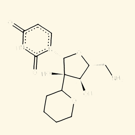 NC[C@H]1O[C@@H](n2ccc(=O)[nH]c2=O)[C@@](O)(C2CCCCO2)[C@@H]1O